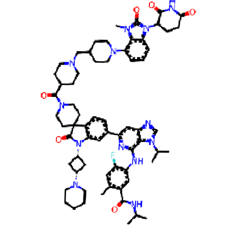 Cc1cc(F)c(Nc2nc(-c3ccc4c(c3)N([C@H]3C[C@@H](N5CCCCC5)C3)C(=O)C43CCN(C(=O)C4CCN(CC5CCN(c6cccc7c6n(C)c(=O)n7C6CCC(=O)NC6=O)CC5)CC4)CC3)cc3ncn(C(C)C)c23)cc1C(=O)NC(C)C